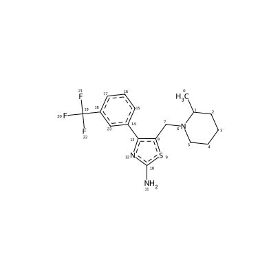 CC1CCCCN1Cc1sc(N)nc1-c1cccc(C(F)(F)F)c1